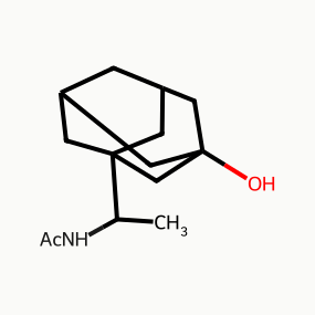 CC(=O)NC(C)C12CC3CC(CC(O)(C3)C1)C2